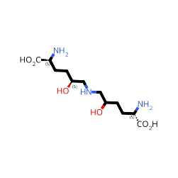 N[C@@H](CCC(O)CNC[C@@H](O)CC[C@H](N)C(=O)O)C(=O)O